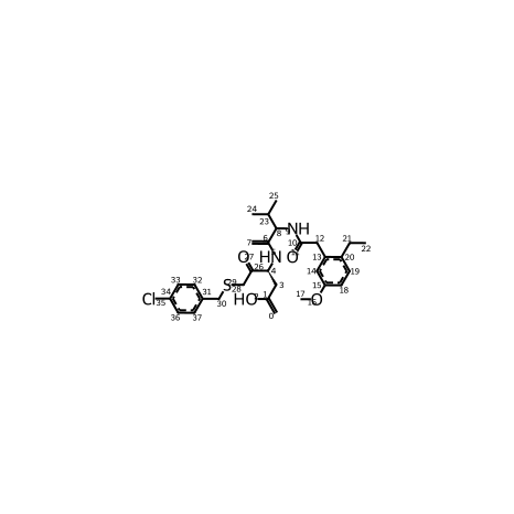 C=C(O)C[C@H](NC(=C)C(NC(=O)Cc1cc(OC)ccc1CC)C(C)C)C(=O)CSCc1ccc(Cl)cc1